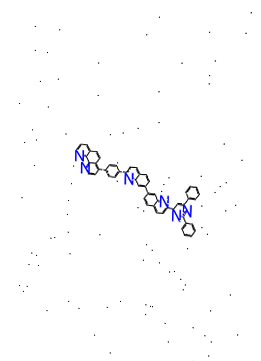 c1ccc(-c2cc(-c3ccc4ccc(-c5ccc6ccc(-c7ccc(-c8ccnc9c8ccc8cccnc89)cc7)nc6c5)cc4n3)nc(-c3ccccc3)n2)cc1